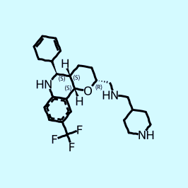 FC(F)(F)c1ccc2c(c1)[C@H]1O[C@@H](CNCC3CCNCC3)CC[C@H]1[C@H](C1C=CC=CC1)N2